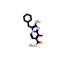 COC(=O)c1ccn2c(CC3CCCCC3)c(C(C)(C)C)nc2c1C